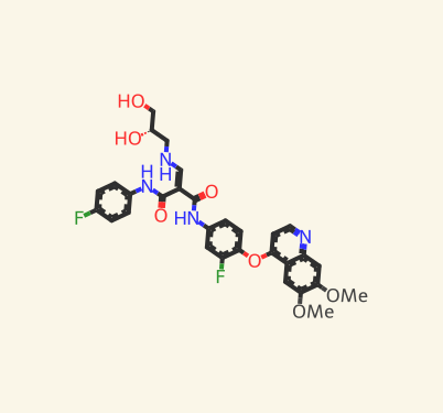 COc1cc2nccc(Oc3ccc(NC(=O)/C(=C/NC[C@H](O)CO)C(=O)Nc4ccc(F)cc4)cc3F)c2cc1OC